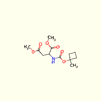 COC(=O)CC(NC(=O)OC1(C)CCC1)C(=O)OC